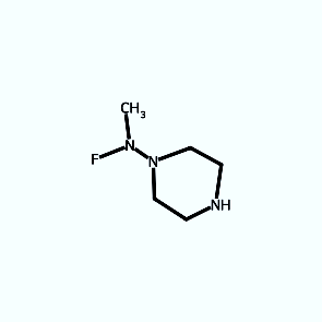 CN(F)N1CCNCC1